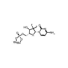 CC(C)(C)OP(=O)(OC[C@H]1O[C@@H](n2ccc(N)nc2=O)C(F)(F)[C@@H]1O)OC(C)(C)C